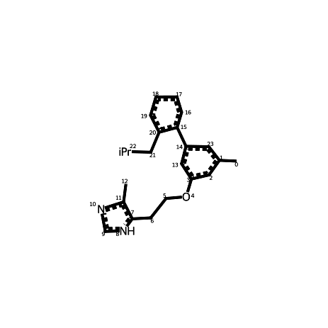 Cc1cc(OCCc2[nH]cnc2C)cc(-c2ccccc2CC(C)C)c1